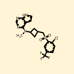 CN(c1ncnc2[nH]ccc12)C1CC(CS(=O)(=O)c2cc(C(F)(F)F)ccc2Cl)C1